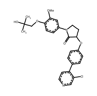 COc1cc(N2CCC(Oc3ccc(-c4ccncc4Cl)cc3)C2=O)ccc1OCC(C)(C)O